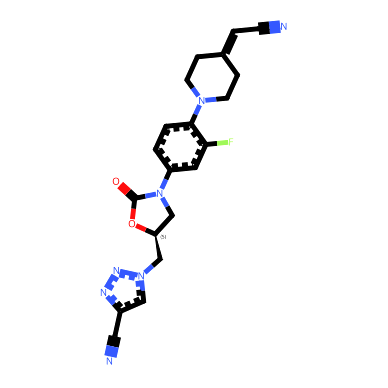 N#CC=C1CCN(c2ccc(N3C[C@@H](Cn4cc(C#N)nn4)OC3=O)cc2F)CC1